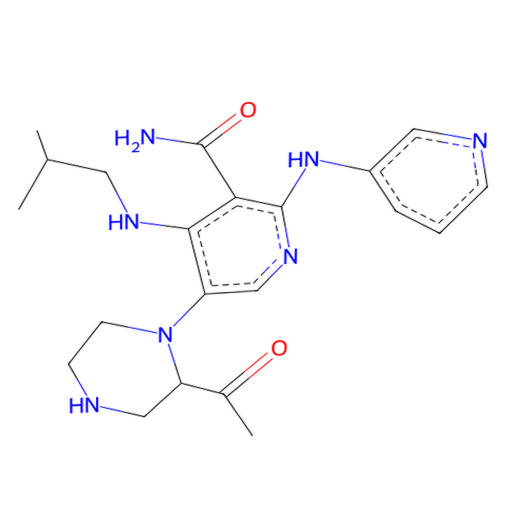 CC(=O)C1CNCCN1c1cnc(Nc2cccnc2)c(C(N)=O)c1NCC(C)C